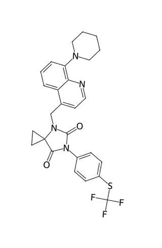 O=C1N(c2ccc(SC(F)(F)F)cc2)C(=O)C2(CC2)N1Cc1ccnc2c(N3CCCCC3)cccc12